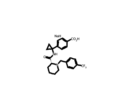 O=C(O)c1ccc(C2(NC(=O)[C@H]3CCCCN3Cc3ccc(C(F)(F)F)cc3)CC2)cc1.[NaH]